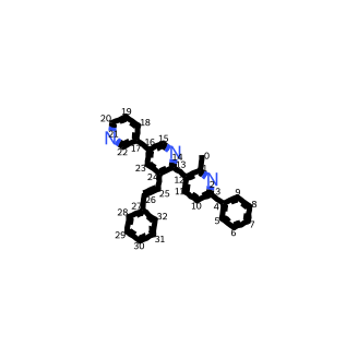 Cc1nc(-c2ccccc2)ccc1-c1ncc(-c2cccnc2)cc1C=Cc1ccccc1